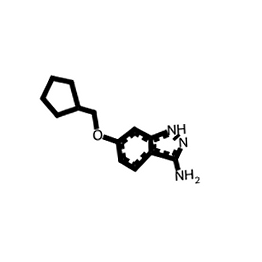 Nc1n[nH]c2cc(OCC3CCCC3)ccc12